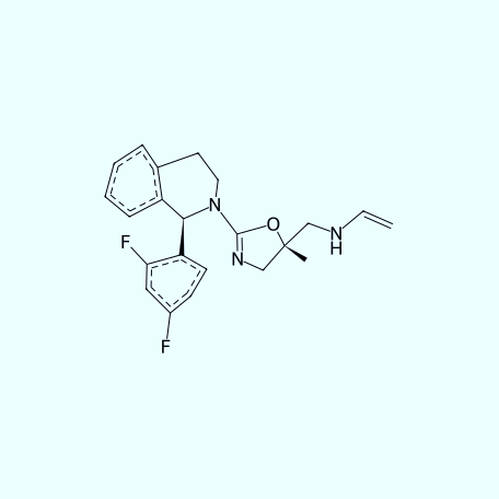 C=CNC[C@]1(C)CN=C(N2CCc3ccccc3[C@@H]2c2ccc(F)cc2F)O1